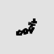 CC(C)(C)OC(=O)N1CC2CC2(c2ccc(N3CCCC3)cc2)C1